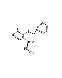 Cn1ncc(C(=O)NO)c1SCc1ccccc1